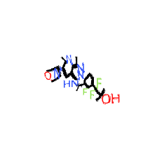 Cc1nc2c(C)nnc(N[C@H](C)c3cccc(C(F)(F)C(C)(C)O)c3F)c2cc1N1C2CCC1COC2